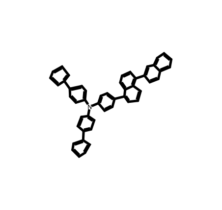 c1ccc(-c2ccc(N(c3ccc(-c4ccccc4)cc3)c3ccc(-c4cccc5c(-c6ccc7ccccc7c6)cccc45)cc3)cc2)cc1